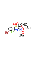 CC(C)(C)OC(=O)N(C(=O)OC(C)(C)C)C1=NC(CF)(c2cc(Br)ccc2F)CS(=O)(=O)C1(C)CC=O